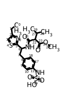 CCc1csc(C(Cc2ccc(NS(=O)(=O)O)cc2)NC(=O)C(C(=O)OC)C(C)C)n1